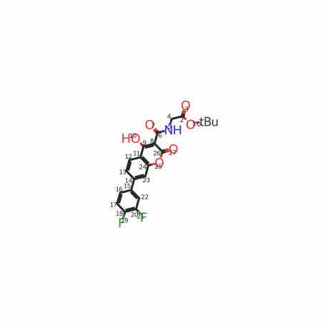 CC(C)(C)OC(=O)CNC(=O)c1c(O)c2ccc(-c3ccc(F)c(F)c3)cc2oc1=O